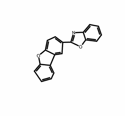 c1ccc2oc(-c3ccc4oc5ccccc5c4c3)nc2c1